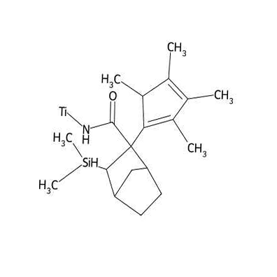 CC1=C(C)C(C)C(C2(C(=O)[NH][Ti])C3CCC(C3)C2[SiH](C)C)=C1C